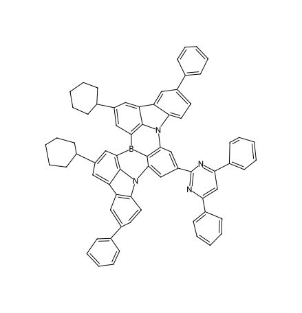 c1ccc(-c2ccc3c(c2)c2cc(C4CCCCC4)cc4c2n3-c2cc(-c3nc(-c5ccccc5)cc(-c5ccccc5)n3)cc3c2B4c2cc(C4CCCCC4)cc4c5cc(-c6ccccc6)ccc5n-3c24)cc1